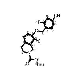 CC(C)(C)OC(=O)N1CCc2ccc(OCc3ccc(C#N)cc3F)c(Cl)c2C1